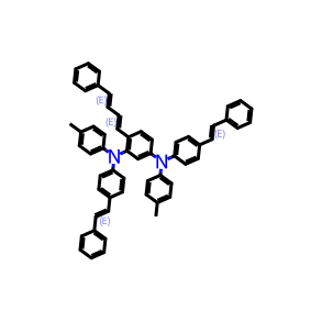 Cc1ccc(N(c2ccc(/C=C/c3ccccc3)cc2)c2ccc(/C=C/C=C/c3ccccc3)c(N(c3ccc(C)cc3)c3ccc(/C=C/c4ccccc4)cc3)c2)cc1